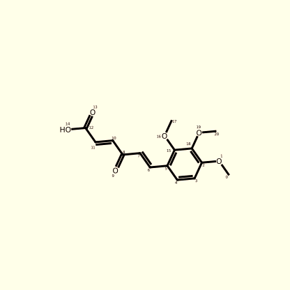 COc1ccc(C=CC(=O)C=CC(=O)O)c(OC)c1OC